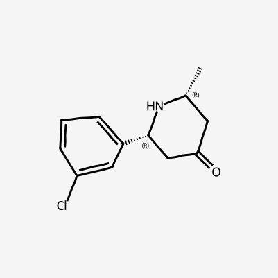 C[C@@H]1CC(=O)C[C@H](c2cccc(Cl)c2)N1